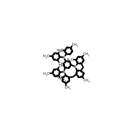 Cc1ccc(B(c2cc3cc(c2)B2c4c(C)cc(C)cc4Cc4cc(C)cc(c42)Cc2cc(C)cc(C)c2B3c2c(C)cc(C)cc2C)c2c(C)cc(C)cc2C)c(C)c1